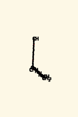 C#CC#CC#CC#CC#CC#CC#CC#CC#CC#CC#CC#CC#COc1ccc(N=Nc2ccc(N=Nc3ccc(N(C)C)cc3)cc2)cc1Cl